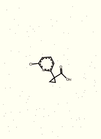 O=C(O)C1(c2cccc(Cl)n2)CC1